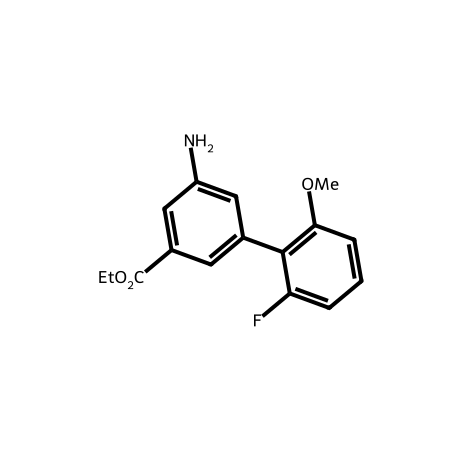 CCOC(=O)c1cc(N)cc(-c2c(F)cccc2OC)c1